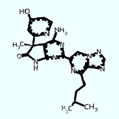 CC(C)CCc1nc(-c2nc(N)c3c(n2)NC(=O)[C@]3(C)c2cc(O)ccn2)cn2ncnc12